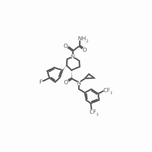 NC(=O)C(=O)N1CC[C@H](C(=O)N(Cc2cc(C(F)(F)F)cc(C(F)(F)F)c2)C2CC2)[C@H](c2ccc(F)cc2)C1